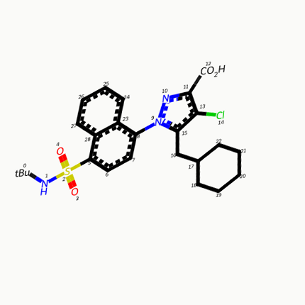 CC(C)(C)NS(=O)(=O)c1ccc(-n2nc(C(=O)O)c(Cl)c2CC2CCCCC2)c2ccccc12